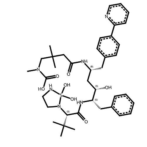 CN(CC(C)(C)CC(=O)N[C@H](Cc1ccc(-c2ccccn2)cc1)C[C@H](O)[C@H](Cc1ccccc1)NC(=O)[C@@H](N1CCNS1(O)O)C(C)(C)C)C(=O)O